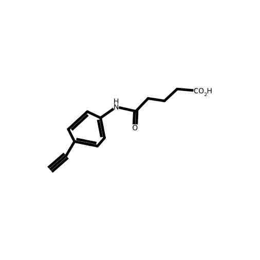 C#Cc1ccc(NC(=O)CCCC(=O)O)cc1